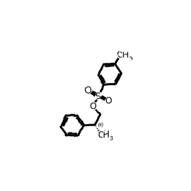 Cc1ccc(S(=O)(=O)OC[C@H](C)c2ccccc2)cc1